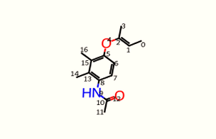 CC=C(C)Oc1ccc(NC(C)=O)c(C)c1C